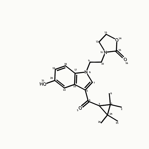 CC1(C)C(C(=O)c2cn(CCN3CCOC3=O)c3ccc(O)cc23)C1(C)C